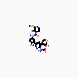 CCN1C(=O)O[C@@H]2COCC[C@@H]2c2cc(-c3cc(NC(=O)c4ccnc(C(F)(F)F)c4F)ccc3C)cnc21